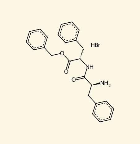 Br.N[C@@H](Cc1ccccc1)C(=O)N[C@@H](Cc1ccccc1)C(=O)OCc1ccccc1